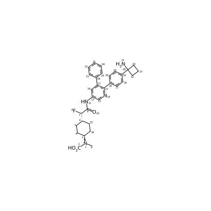 CN(C(=O)O)[C@H]1CC[C@H](C(F)C(=O)Nc2cnc(-c3ccc(C4(N)CCC4)cc3)c(-c3ccccc3)c2)CC1